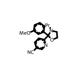 COc1cccc(C2(c3ccc(C#N)cn3)OCCN2C(C)C)c1